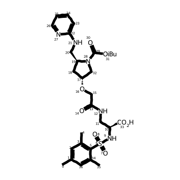 Cc1cc(C)c(S(=O)(=O)N[C@@H](CNC(=O)CO[C@@H]2C[C@@H](CNc3ccccn3)N(C(=O)OCC(C)C)C2)C(=O)O)c(C)c1